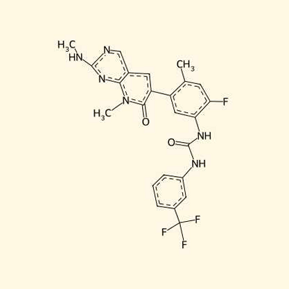 CNc1ncc2cc(-c3cc(NC(=O)Nc4cccc(C(F)(F)F)c4)c(F)cc3C)c(=O)n(C)c2n1